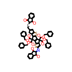 O=C1C(=C=CC2=Cc3sc4c(c3C2)C(C(=O)OCc2ccccc2)(C(=O)OCc2ccccc2)C2=C4C(C(=O)OCc3ccccc3)(C(=O)OCc3ccccc3)c3cc(N=c4c(=O)c5ccccc5c4=O)sc32)C(=O)c2ccccc21